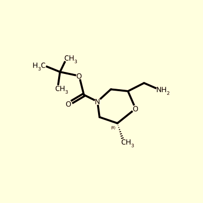 C[C@@H]1CN(C(=O)OC(C)(C)C)CC(CN)O1